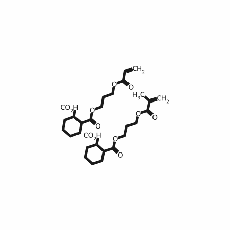 C=C(C)C(=O)OCCCOC(=O)C1CCCCC1C(=O)O.C=CC(=O)OCCCOC(=O)C1CCCCC1C(=O)O